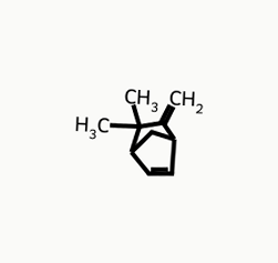 C=C1C2C=CC(C2)C1(C)C